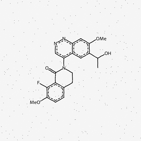 COc1cc2nncc(N3CCc4ccc(OC)c(F)c4C3=O)c2cc1C(C)O